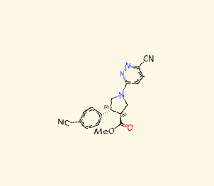 COC(=O)[C@@H]1CN(c2ccc(C#N)nn2)C[C@H]1c1ccc(C#N)cc1